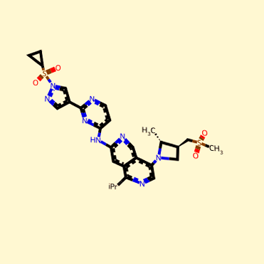 CC(C)c1ncc(N2C[C@H](CS(C)(=O)=O)[C@H]2C)c2cnc(Nc3ccnc(-c4cnn(S(=O)(=O)C5CC5)c4)n3)cc12